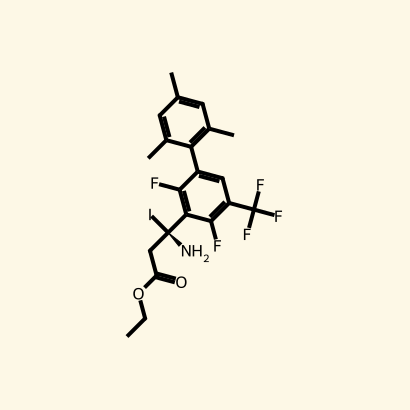 CCOC(=O)C[C@](N)(I)c1c(F)c(-c2c(C)cc(C)cc2C)cc(C(F)(F)F)c1F